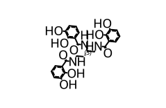 O=C(NCC[C@@H](CNC(=O)c1cccc(O)c1O)NC(=O)c1cccc(O)c1O)c1cccc(O)c1O